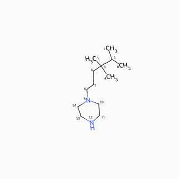 CC(C)C(C)(C)CCCN1CCNCC1